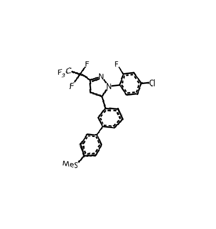 CSc1ccc(-c2cccc(C3CC(C(F)(F)C(F)(F)F)=NN3c3ccc(Cl)cc3F)c2)cc1